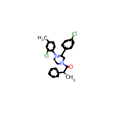 Cc1ccc(N2CCN(C(=O)[C@@H](C)c3ccccc3)CC2c2ccc(Cl)cc2)c(Cl)c1